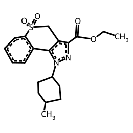 CCOC(=O)c1nn(C2CCC(C)CC2)c2c1CS(=O)(=O)c1ccccc1-2